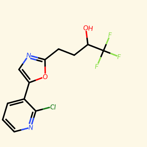 OC(CCc1ncc(-c2cccnc2Cl)o1)C(F)(F)F